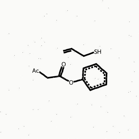 C=CCS.CC(=O)CC(=O)Oc1ccccc1